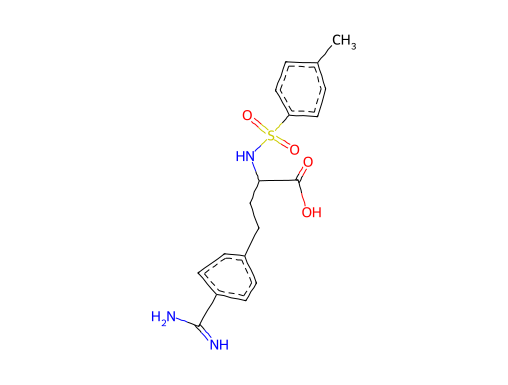 Cc1ccc(S(=O)(=O)NC(CCc2ccc(C(=N)N)cc2)C(=O)O)cc1